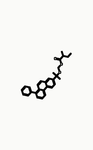 CCC(C)C(=O)OCOC(C)(C)c1ccc2c(ccc3c(-c4ccccc4)cccc32)c1